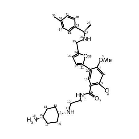 COc1cc(Cl)c(C(=O)NCCN[C@H]2CC[C@@H](N)CC2)cc1-c1ccc(CN[C@H](C)c2ccc(C)cc2)o1